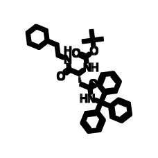 CC(C)(C)OC(=O)N[C@H](CC(=O)NC(c1ccccc1)(c1ccccc1)c1ccccc1)C(=O)NCCC1CCCCC1